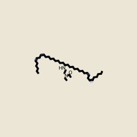 CCCCC/C=C\C/C=C\CCCCCCCCC(CCCCCCCC/C=C\C/C=C\CCCCC)NCCN(CC)C(C)=O